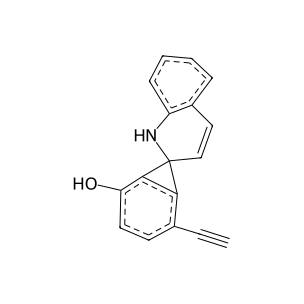 C#Cc1ccc(O)c2c1C21C=Cc2ccccc2N1